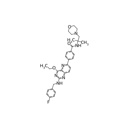 CCOc1nc(NCc2ccc(F)cc2)nc2ccc(-c3ccc(C(=O)NC(C)(C)CN4CCOCC4)cc3)nc12